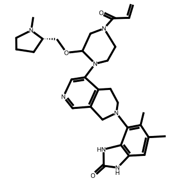 C=CC(=O)N1CCN(c2cncc3c2CCN(c2c(C)c(C)cc4[nH]c(=O)[nH]c24)C3)C(OC[C@@H]2CCCN2C)C1